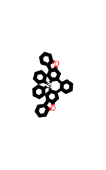 c1ccc([Si]2(c3ccccc3)c3cc4c(cc3-c3ccccc3-c3cc5oc6ccccc6c5cc32)oc2ccccc24)cc1